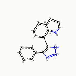 c1ccc(C2=C(c3cccc4cccnc34)N[N+]=N2)cc1